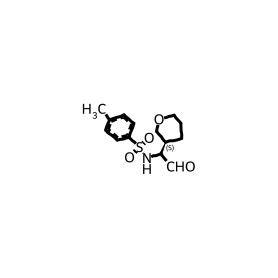 Cc1ccc(S(=O)(=O)NC(C=O)[C@@H]2CCCOC2)cc1